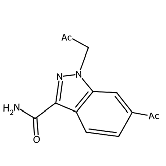 CC(=O)Cn1nc(C(N)=O)c2ccc(C(C)=O)cc21